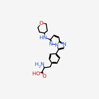 NC(Cc1ccc(-c2cnc3ccc(NC4CCOCC4)nn23)cc1)C(=O)O